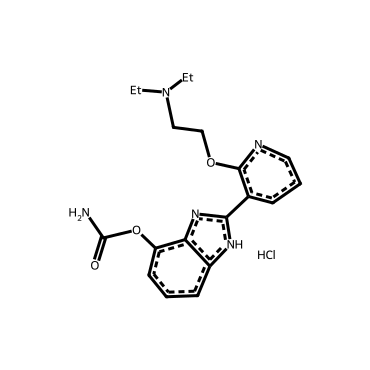 CCN(CC)CCOc1ncccc1-c1nc2c(OC(N)=O)cccc2[nH]1.Cl